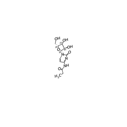 CCC(=O)Nc1ccn([C@@H]2O[C@H](CO)[C@@H](O)[C@H]2O)c(=O)n1